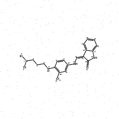 CCN(CC)CCCNc1ccc(N/C=C2\C(=O)Nc3ccccc32)cc1C(F)(F)F